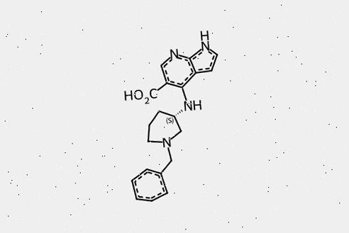 O=C(O)c1cnc2[nH]ccc2c1N[C@H]1CCCN(Cc2ccccc2)C1